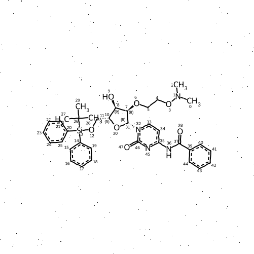 CN(C)OCCO[C@@H]1[C@H](O)[C@@H](CO[Si](c2ccccc2)(c2ccccc2)C(C)(C)C)O[C@H]1n1ccc(NC(=O)c2ccccc2)nc1=O